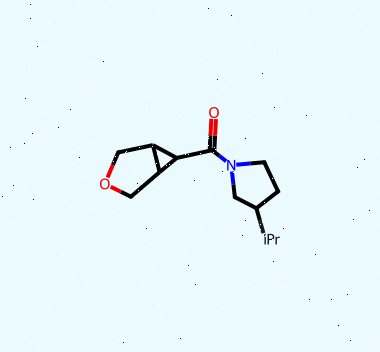 CC(C)C1CCN(C(=O)C2C3COCC32)C1